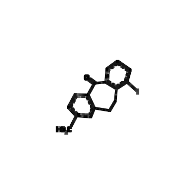 O=C(O)c1ccc2c(c1)CCc1c(I)cccc1C2=O